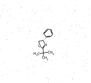 CC(C)(C)C1=N[C@@H](c2ccccc2)CO1